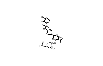 Cc1n[nH]c2nc(-c3ccc(NS(=O)(=O)c4cccc(Cl)c4F)cc3)nc(O[C@@H]3CCN(CC(F)F)C[C@@H]3F)c12